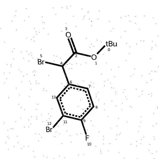 CC(C)(C)OC(=O)C(Br)c1ccc(F)c(Br)c1